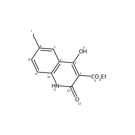 CCOC(=O)c1c(O)c2cc(I)ccc2[nH]c1=O